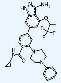 CC(Oc1cc(-c2ccc(C(=O)NC3CC3)c(N3CCN(c4ccccc4)CC3)c2)cc2[nH]nc(N)c12)C(F)(F)F